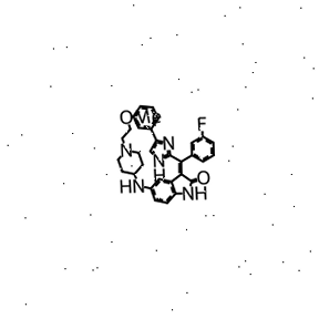 COCCN1CCC(Nc2ccc3c(c2)C(=C(c2cccc(F)c2)c2nc(-c4ccccc4)c[nH]2)C(=O)N3)CC1